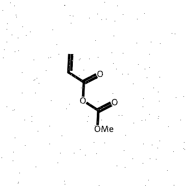 C=CC(=O)OC(=O)OC